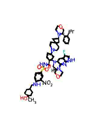 CC(C)c1ccccc1[C@@H]1COCCN1C1CC2(CCN(c3ccc(C(=O)NS(=O)(=O)c4ccc(NCC5CCC(C)(O)CC5)c([N+](=O)[O-])c4)c(N4C[C@H]5COCCN5c5nc6[nH]cc(F)c6cc54)c3)CC2)C1